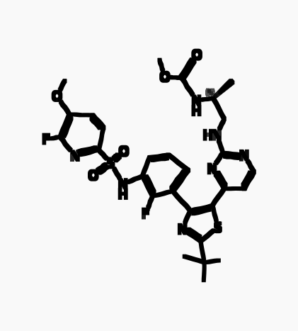 COC(=O)N[C@@H](C)CNc1nccc(-c2sc(C(C)(C)C)nc2-c2cccc(NS(=O)(=O)c3ccc(OC)c(F)n3)c2F)n1